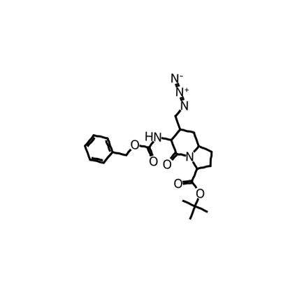 CC(C)(C)OC(=O)C1CCC2CC(CN=[N+]=[N-])C(NC(=O)OCc3ccccc3)C(=O)N21